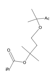 CC(=O)C(C)(C)OCCC(C)(C)OC(=O)C(C)C